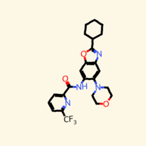 O=C(Nc1cc2oc(C3CCCCC3)nc2cc1N1CCOCC1)c1cccc(C(F)(F)F)n1